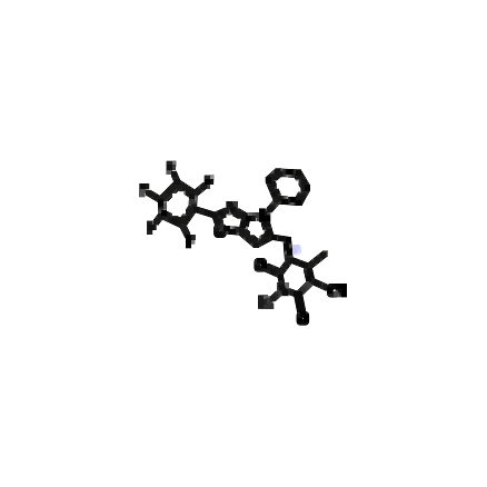 CCN1C(=O)C(C#N)=C(C)/C(=C/c2cc3oc(-c4c(F)c(F)c(F)c(F)c4F)nc3n2-c2ccccc2)C1=O